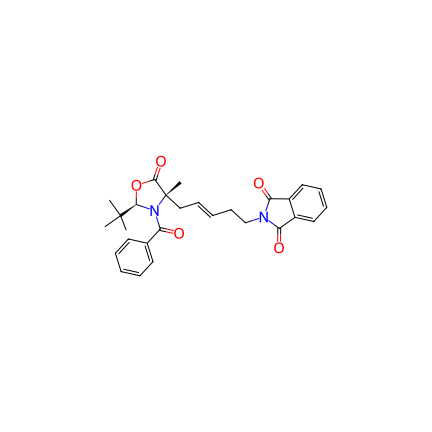 CC(C)(C)[C@H]1OC(=O)[C@](C)(CC=CCCN2C(=O)c3ccccc3C2=O)N1C(=O)c1ccccc1